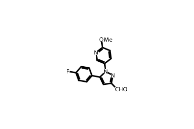 COc1ccc(-n2nc(C=O)cc2-c2ccc(F)cc2)cn1